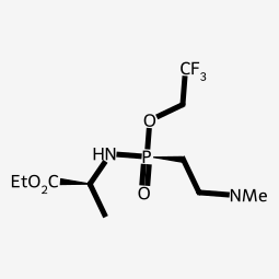 CCOC(=O)[C@H](C)N[P@](=O)(CCNC)OCC(F)(F)F